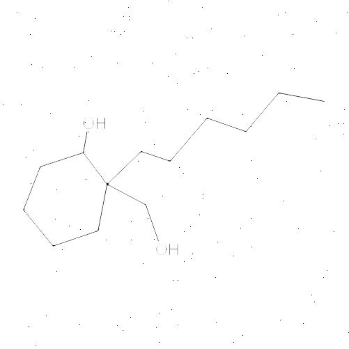 CCCCCCC1(CO)CCCCC1O